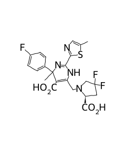 Cc1cnc(C2=NC(C)(c3ccc(F)cc3)C(C(=O)O)=C(CN3CC(F)(F)C[C@H]3C(=O)O)N2)s1